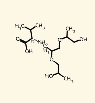 CC(C)[C@H](N)C(=O)O.CC(O)COC(C)COC(C)CO